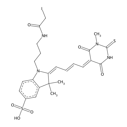 CN1C(=O)\C(=C/C=C/C=C2/N(CCCNC(=O)CI)c3ccc(S(=O)(=O)O)cc3C2(C)C)C(=O)NC1=S